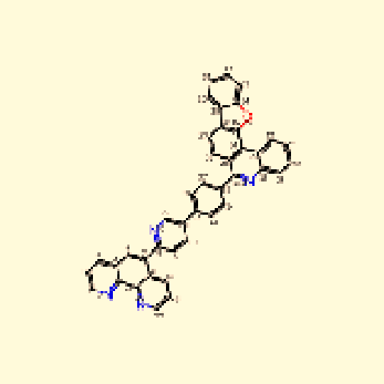 c1cnc2c(c1)cc(-c1ccc(-c3ccc(-c4nc5ccccc5c5c4ccc4c6ccccc6oc45)cc3)cn1)c1cccnc12